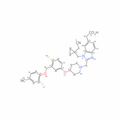 N#CCC1(Cn2c(CN3CCC(Oc4ccc(F)c(COc5ccc(C#N)cc5F)c4)CC3)nc3ccc(CC(=O)O)cc32)CC1